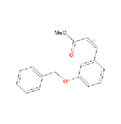 COC(=O)/C=C\c1cccc(OCc2ccccc2)c1